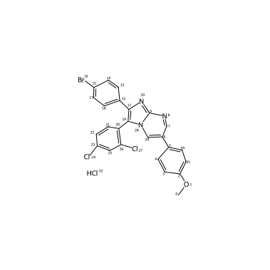 COc1ccc(-c2cnc3nc(-c4ccc(Br)cc4)c(-c4ccc(Cl)cc4Cl)n3c2)cc1.Cl